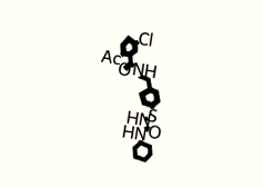 CC(=O)c1ccc(Cl)cc1C(=O)NCCc1ccc(SNC(=O)NC2CCCCC2)cc1